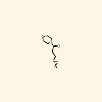 CCOOCCC(=O)N1CCOCC1